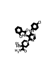 CCNC1(C(N)=O)CCN(c2ncnc(Nc3ccc(Cl)cc3)c2NC(=O)c2ccccc2Cl)CC1